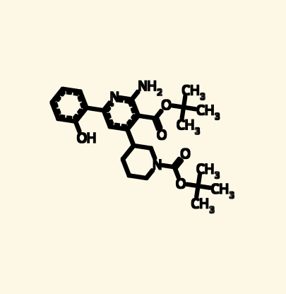 CC(C)(C)OC(=O)c1c(C2CCCN(C(=O)OC(C)(C)C)C2)cc(-c2ccccc2O)nc1N